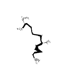 CCCCC[C@@H](C)CCC[C@H](C)CCCC(C)C